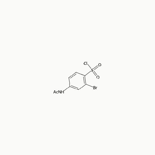 CC(=O)Nc1ccc(S(=O)(=O)Cl)c(Br)c1